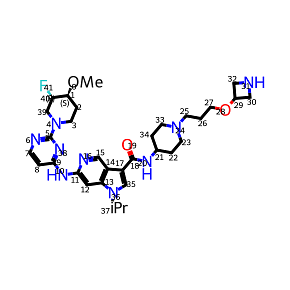 CO[C@H]1CCN(c2nccc(Nc3cc4c(cn3)c(C(=O)NC3CCN(CCCOC5CNC5)CC3)cn4C(C)C)n2)C[C@H]1F